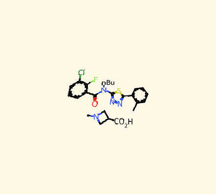 CCCCN(C(=O)c1cccc(Cl)c1F)c1nnc(-c2ccccc2C)s1.CN1CC(C(=O)O)C1